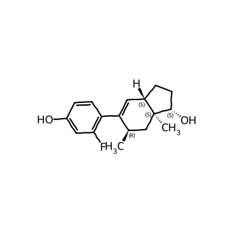 C[C@@H]1C[C@@]2(C)[C@H](C=C1c1ccc(O)cc1F)CC[C@@H]2O